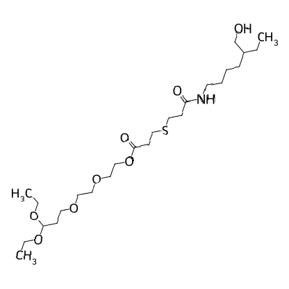 CCOC(CCOCCOCCOC(=O)CCSCCC(=O)NCCCCC(CC)CO)OCC